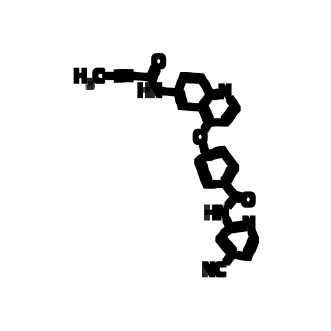 CC#CC(=O)Nc1ccc2nccc(Oc3ccc(C(=O)Nc4cc(C#N)ccn4)cc3)c2c1